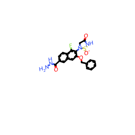 NNC(=O)c1ccc2c(F)c(N3CC(=O)N[S+]3[O-])c(OCc3ccccc3)cc2c1